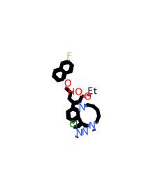 CCOC(O)c1c(CCCOc2cccc3cc(F)ccc23)c2ccc(Cl)c3c2n1CCCCCN(C)c1nn(C)c(C)c1-3